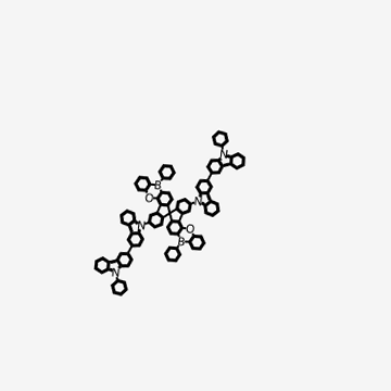 c1ccc(B2c3ccccc3Oc3c2ccc2c3-c3cc(-n4c5ccccc5c5cc(-c6ccc7c(c6)c6ccccc6n7-c6ccccc6)ccc54)ccc3C23c2ccc(-n4c5ccccc5c5cc(-c6ccc7c(c6)c6ccccc6n7-c6ccccc6)ccc54)cc2-c2c3ccc3c2Oc2ccccc2B3c2ccccc2)cc1